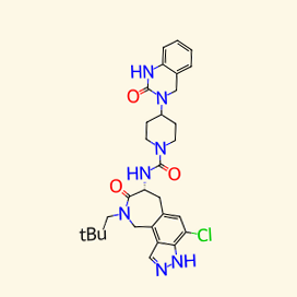 CC(C)(C)CN1Cc2c(cc(Cl)c3[nH]ncc23)C[C@@H](NC(=O)N2CCC(N3Cc4ccccc4NC3=O)CC2)C1=O